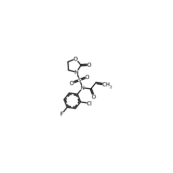 C=CC(=O)N(c1ccc(F)cc1Cl)S(=O)(=O)N1CCOC1=O